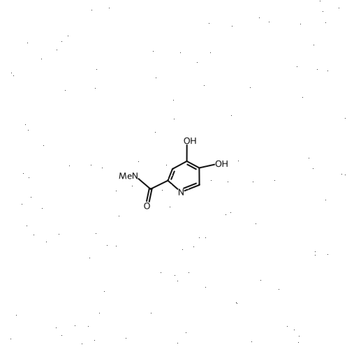 CNC(=O)c1cc(O)c(O)cn1